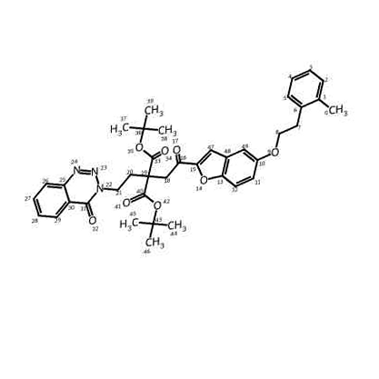 Cc1ccccc1CCOc1ccc2oc(C(=O)CC(CCn3nnc4ccccc4c3=O)(C(=O)OC(C)(C)C)C(=O)OC(C)(C)C)cc2c1